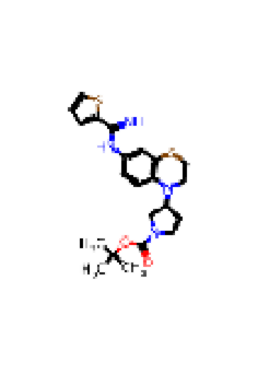 CC(C)(C)OC(=O)N1CCC(N2CCSc3cc(NC(=N)c4cccs4)ccc32)C1